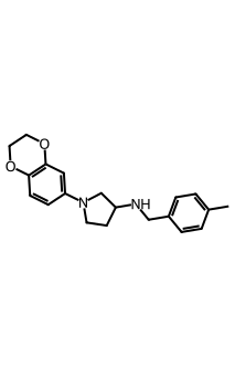 Cc1ccc(CNC2CCN(c3ccc4c(c3)OCCO4)C2)cc1